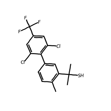 Cc1ccc(-c2c(Cl)cc(C(F)(F)F)cc2Cl)cc1C(C)(C)S